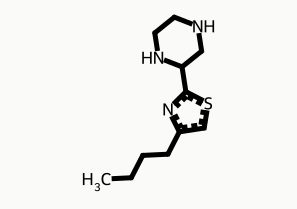 CCCCc1csc(C2CNCCN2)n1